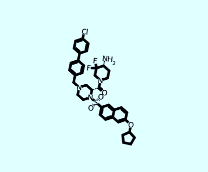 N[C@@H]1CCN(C(=O)[C@H]2CN(Cc3ccc(-c4ccc(Cl)cc4)cc3)CCN2S(=O)(=O)c2ccc3cc(OC4CCCC4)ccc3c2)CC1(F)F